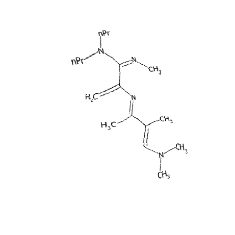 C=C(/N=C(C)/C(C)=C/N(C)C)/C(=N\C)N(CCC)CCC